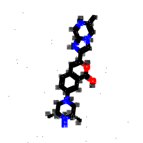 Cc1cn2cc(-c3cc4ccc(N5C[C@@H](C)N[C@@H](C)C5)cc4c(=O)o3)nc2cn1